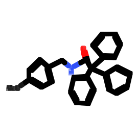 COc1ccc(CNC(=O)C(c2ccccc2)(c2ccccc2)c2ccccc2)cc1